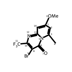 COc1cc(C)n2c(=O)c(Br)c(C(F)(F)F)nc2c1